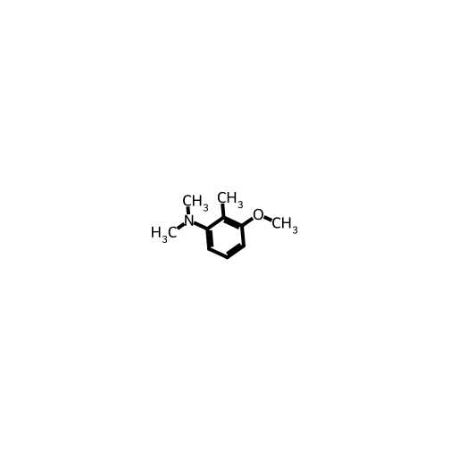 COc1cccc(N(C)C)c1C